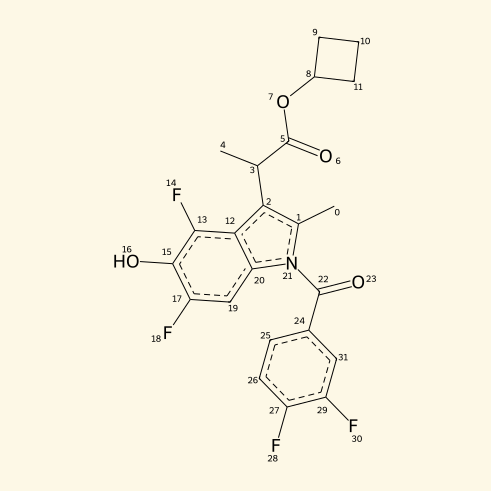 Cc1c(C(C)C(=O)OC2CCC2)c2c(F)c(O)c(F)cc2n1C(=O)c1ccc(F)c(F)c1